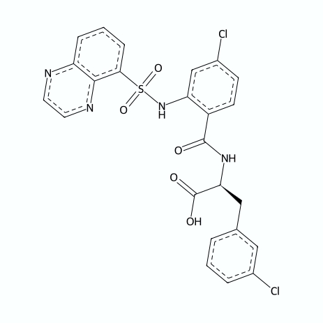 O=C(N[C@@H](Cc1cccc(Cl)c1)C(=O)O)c1ccc(Cl)cc1NS(=O)(=O)c1cccc2nccnc12